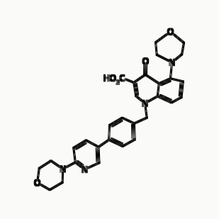 O=C(O)c1cn(Cc2ccc(-c3ccc(N4CCOCC4)nc3)cc2)c2cccc(N3CCOCC3)c2c1=O